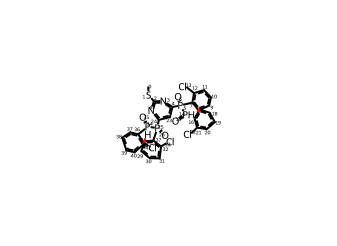 CSc1nc(P(=O)(c2ccccc2Cl)[PH](=O)c2ccccc2Cl)cc(P(=O)(c2ccccc2Cl)[PH](=O)c2ccccc2Cl)n1